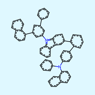 c1ccc(-c2cc(-c3cccc4ccccc34)cc(-n3c4ccccc4c4cc(-c5ccccc5-c5ccc(N(c6ccccc6)c6cccc7ccccc67)cc5)ccc43)c2)cc1